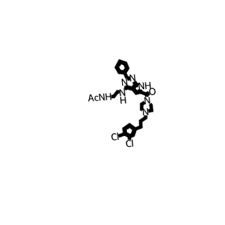 CC(=O)NCCNc1nc(-c2ccccc2)nc2[nH]c(C(=O)N3CCN(CCCc4ccc(Cl)c(Cl)c4)CC3)cc12